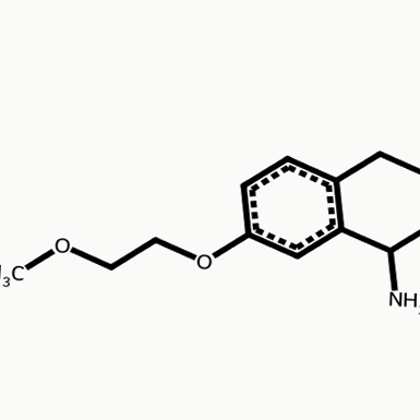 COCCOc1ccc2c(c1)C(N)CCC2